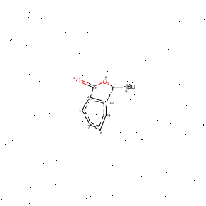 CCC(C)C1OC(=O)c2ccccc21